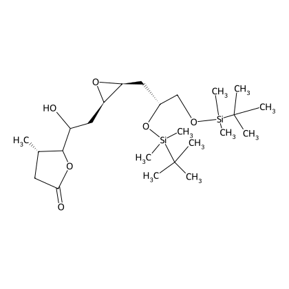 C[C@H]1CC(=O)OC1C(O)C[C@H]1O[C@H]1C[C@H](CO[Si](C)(C)C(C)(C)C)O[Si](C)(C)C(C)(C)C